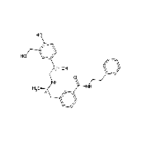 C[C@H](Cc1cccc(C(=O)NCCc2ccccc2)c1)NC[C@@H](O)c1ccc(O)c(CO)c1